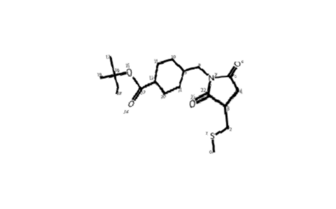 CSCC1CC(=O)N(CC2CCC(C(=O)OC(C)(C)C)CC2)C1=O